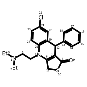 CCN(CC)CCN1C2=C(C(=O)SC2)C(c2ccccc2)c2cc(Cl)ccc21